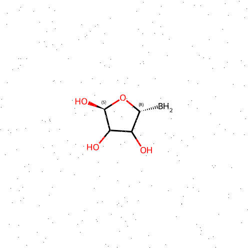 B[C@H]1O[C@H](O)C(O)C1O